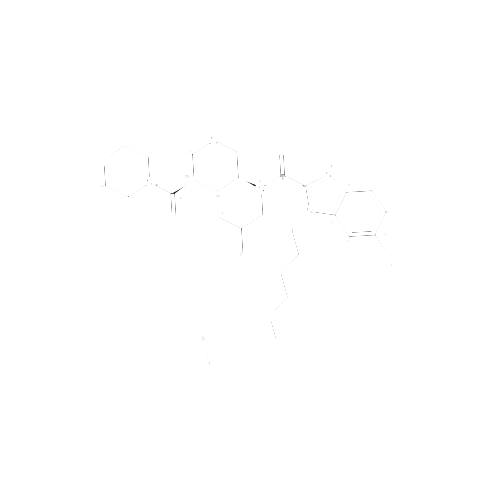 COCCCCn1c(C(=O)N(CC(C)C)[C@@H]2CNC[C@H](C(=O)N3CCOCC3)C2)nc2ccc(F)cc21.Cl.Cl